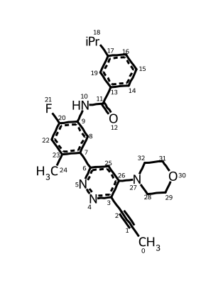 CC#Cc1nnc(-c2cc(NC(=O)c3cccc(C(C)C)c3)c(F)cc2C)cc1N1CCOCC1